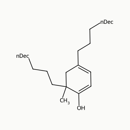 CCCCCCCCCCCCCC1=CC=C(O)C(C)(CCCCCCCCCCCCC)C1